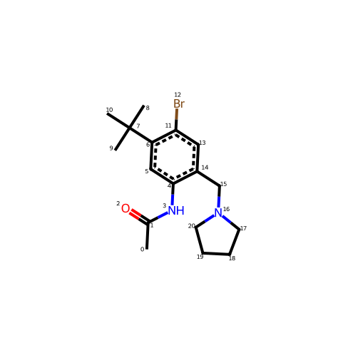 CC(=O)Nc1cc(C(C)(C)C)c(Br)cc1CN1CCCC1